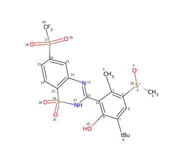 Cc1c([S@@+](C)[O-])cc(C(C)(C)C)c(O)c1C1=Nc2cc(S(=O)(=O)C(F)(F)F)ccc2S(=O)(=O)N1